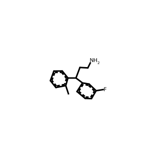 Cc1ccccc1C(CCN)c1cccc(F)c1